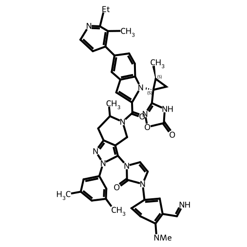 CCc1nccc(-c2ccc3c(c2)cc(C(=O)N2Cc4c(nn(-c5cc(C)cc(C)c5)c4-n4ccn(-c5ccc(NC)c(C=N)c5)c4=O)CC2C)n3[C@@]2(c3noc(=O)[nH]3)C[C@@H]2C)c1C